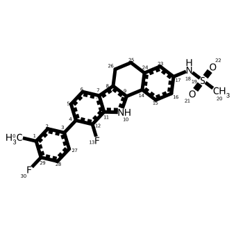 Cc1cc(-c2ccc3c4c([nH]c3c2F)-c2ccc(NS(C)(=O)=O)cc2CC4)ccc1F